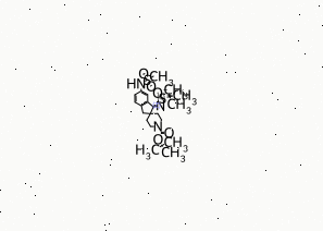 CC(C)(C)OC(=O)N1CCC2(CC1)Cc1ccc(NS(C)(=O)=O)cc1/C2=N\[S@+]([O-])C(C)(C)C